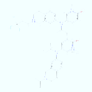 CC(C)N1CCc2ccc(N(c3cc(CC(C)N(c4ccc5c(c4)CN(CCC(F)(F)F)CC5)c4ccc(=O)n(C)c4)c(=O)n(C)c3)C(C)C)cc2C1